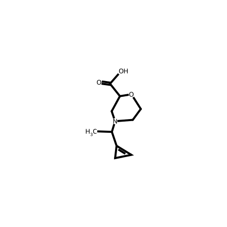 CC(C1=CC1)N1CCOC(C(=O)O)C1